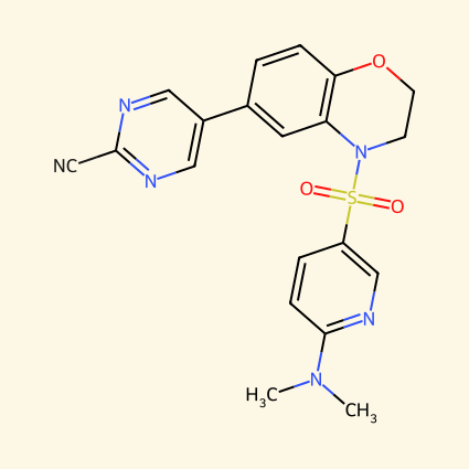 CN(C)c1ccc(S(=O)(=O)N2CCOc3ccc(-c4cnc(C#N)nc4)cc32)cn1